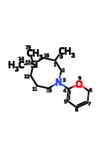 CC1CN(C2=CC=CCO2)CCC[Si](C)(C)C1